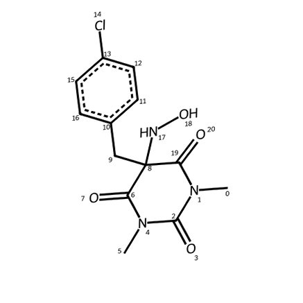 CN1C(=O)N(C)C(=O)C(Cc2ccc(Cl)cc2)(NO)C1=O